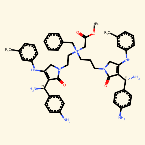 CC(C)(C)OC(=O)C[N+](CCCN1CC(Nc2cccc(C(F)(F)F)c2)=C([C@H](N)c2ccc(N)cc2)C1=O)(CCN1CC(Nc2cccc(C(F)(F)F)c2)=C([C@H](N)c2ccc(N)cc2)C1=O)Cc1ccccc1